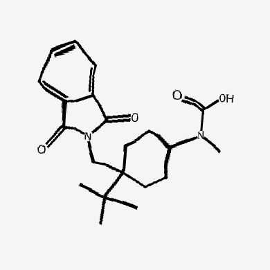 CN(C(=O)O)C1CCC(CN2C(=O)c3ccccc3C2=O)(C(C)(C)C)CC1